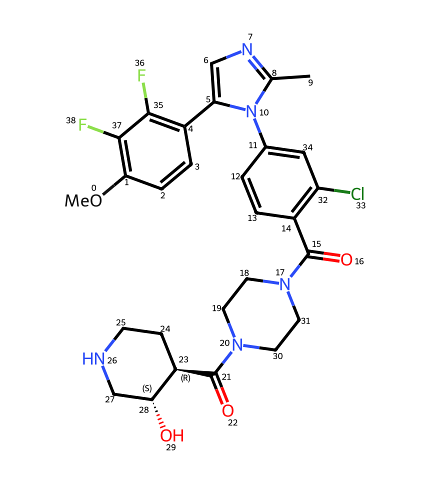 COc1ccc(-c2cnc(C)n2-c2ccc(C(=O)N3CCN(C(=O)[C@@H]4CCNC[C@H]4O)CC3)c(Cl)c2)c(F)c1F